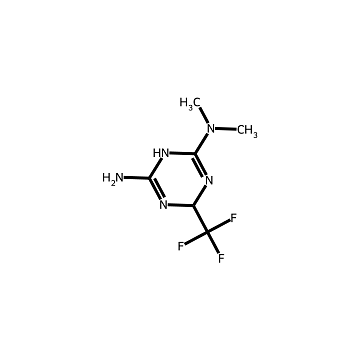 CN(C)C1=NC(C(F)(F)F)N=C(N)N1